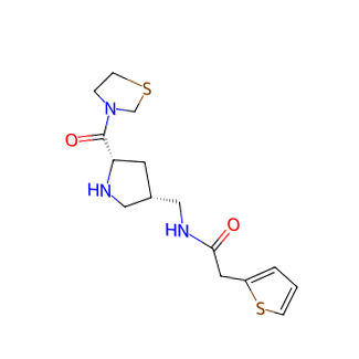 O=C(Cc1cccs1)NC[C@@H]1CN[C@H](C(=O)N2CCSC2)C1